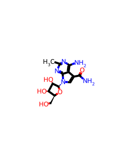 Cc1nc(N)c2c(C(N)=O)cn([C@@H]3O[C@@H](CO)[C@H](O)[C@@H]3O)c2n1